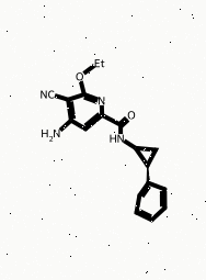 CCOc1nc(C(=O)NC2C[C@H]2c2ccccc2)cc(N)c1C#N